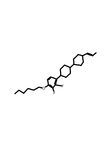 C/C=C/C1CCC(C2CCC(c3ccc(OCCCCCC)c(F)c3F)CC2)CC1